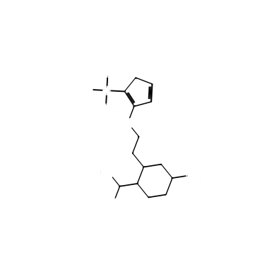 CC1CCC(C(C)C)C(CCOC2=C([Si](C)(C)C)CC=C2)C1